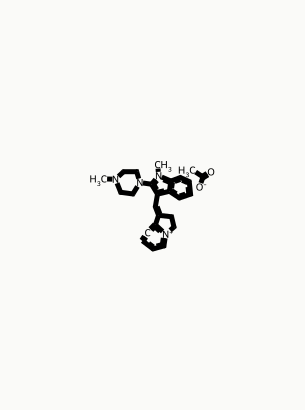 CC(=O)[O-].CN1CCN(c2c(/C=C3\CC[n+]4ccccc43)c3ccccc3n2C)CC1